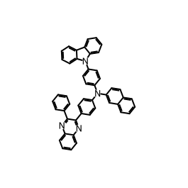 c1ccc(-c2nc3ccccc3nc2-c2ccc(N(c3ccc(-n4c5ccccc5c5ccccc54)cc3)c3ccc4ccccc4c3)cc2)cc1